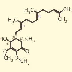 COC1=C(OC)[C@@H](O)[C@@H](C/C=C(\C)CC/C=C(\C)CCC=C(C)C)[C@H](C)C1=O